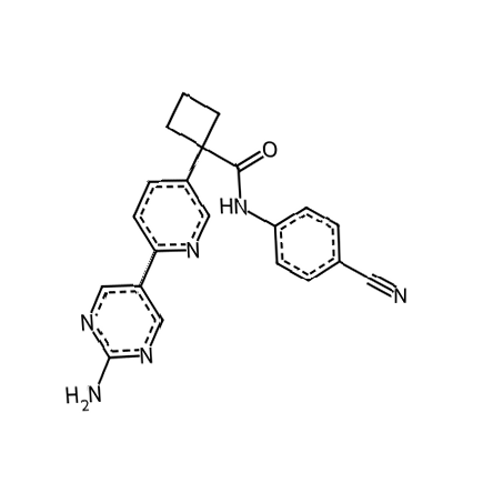 N#Cc1ccc(NC(=O)C2(c3ccc(-c4cnc(N)nc4)nc3)CCC2)cc1